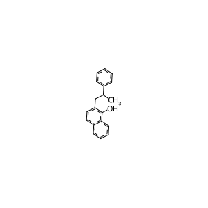 CC(Cc1ccc2ccccc2c1O)c1ccccc1